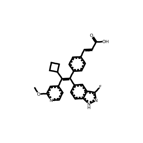 COc1cc(C(=C(c2ccc(C=CC(=O)O)cc2)c2ccc3[nH]nc(F)c3c2)C2CCC2)ccn1